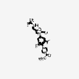 CCC(=S)NCC1CN(c2cc(F)c(N3CCN(C(=O)OC)CC3)c(F)c2)C(=O)O1